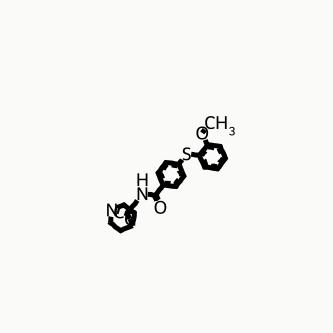 COc1ccccc1Sc1ccc(C(=O)NC2CC3CCN(CC3)C2)cc1